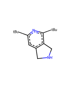 CC(C)(C)c1cc2c(c(C(C)(C)C)n1)CNC2